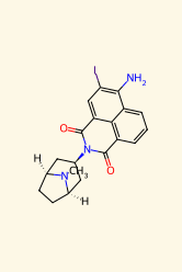 CN1[C@@H]2CC[C@H]1C[C@@H](N1C(=O)c3cccc4c(N)c(I)cc(c34)C1=O)C2